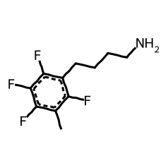 Cc1c(F)c(F)c(F)c(CCCCN)c1F